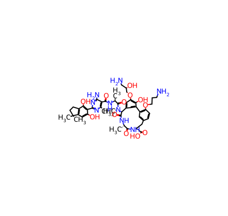 Cc1nc(-c2c(O)cc3c(c2O)CCC3(C)C)nc(N)c1C(=O)N[C@@H](C)C(=O)N(C)[C@@H]1C(=O)N[C@@H](C)C(=O)N[C@H](C(=O)O)Cc2ccc(OCCCN)c(c2)-c2cc1cc(OC[C@H](O)CN)c2O